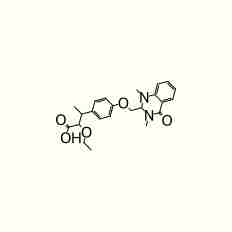 CCOC(C(=O)O)C(C)c1ccc(OCC2N(C)C(=O)c3ccccc3N2C)cc1